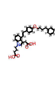 O=C(O)CCCn1cc(CC(=O)O)c2c(C=Cc3ccc(OCCCCc4ccccc4)cc3)cccc21